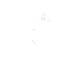 CC(=O)NC1CCC2(CCN(CC3CCOCC3)CC2)c2ccccc21